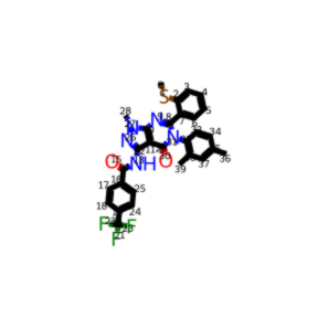 CSc1ccccc1-c1nc2c(c(NC(=O)c3ccc(C(F)(F)F)cc3)nn2C)c(=O)n1-c1ccc(C)cc1C